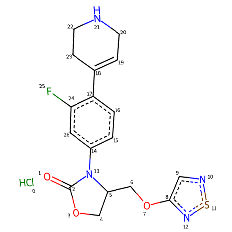 Cl.O=C1OCC(COc2cnsn2)N1c1ccc(C2=CCNCC2)c(F)c1